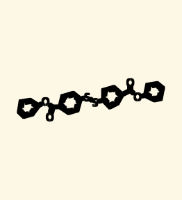 O=C(Oc1ccccc1)c1ccc(SSc2ccc(C(=O)Oc3ccccc3)cc2)cc1